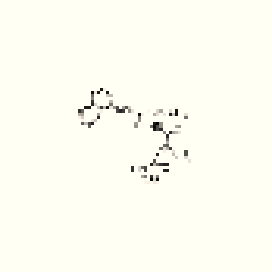 C[C@@H](CC(=O)NCc1cccc2ccccc12)NC(=O)[C@@H](C)CC(=O)NC(C)(C)C